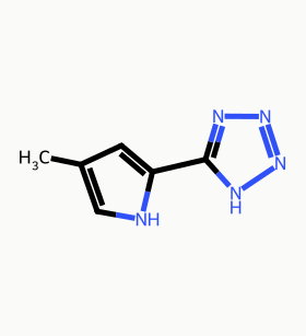 Cc1c[nH]c(-c2nnn[nH]2)c1